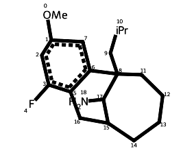 COc1cc(F)c2c(c1)C1(CC(C)C)CCCCC(C2)C1N